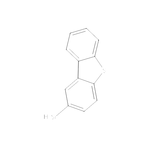 [SiH3]c1ccc2sc3ccccc3c2c1